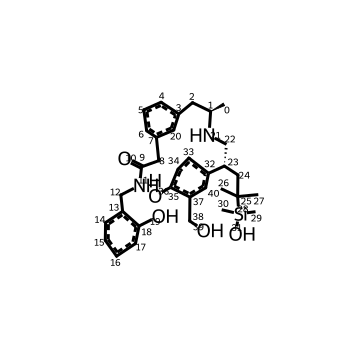 C[C@H](Cc1cccc(CC(=O)NCc2ccccc2O)c1)NC[C@H](CC(C)(C)[Si](C)(C)O)c1ccc(O)c(CO)c1